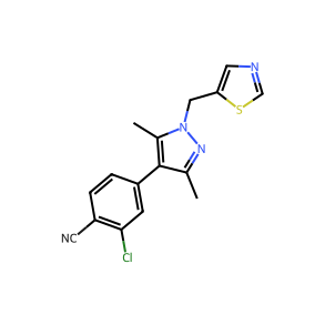 Cc1nn(Cc2cncs2)c(C)c1-c1ccc(C#N)c(Cl)c1